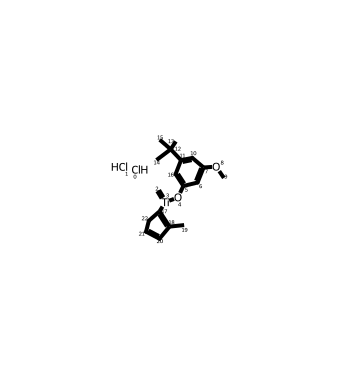 Cl.Cl.[CH2]=[Ti]([O]c1cc(OC)cc(C(C)(C)C)c1)[C]1=C(C)C=CC1